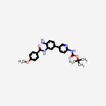 COc1ccc(C(=O)Nc2cc(-c3ccc(NC(=O)OC(C)(C)C)nc3)ccc2N)cc1